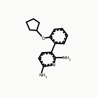 Nc1ccc(-c2ccccc2OC2CCCC2)c(N)n1